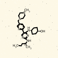 CCC[C@H](C)Nc1ncc(-c2ccc(CN3CCN(C)CC3)cn2)c(N[C@H]2CC[C@H](O)CC2)n1